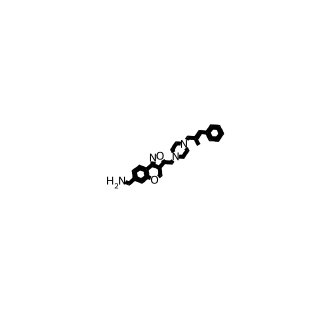 C/C(=C\c1ccccc1)CN1CCN(CC2ON=C3c4ccc(CN)cc4OCC32)CC1